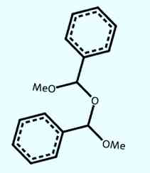 COC(OC(OC)c1ccccc1)c1ccccc1